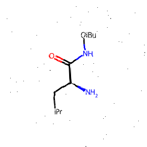 CC(C)CONC(=O)[C@@H](N)CC(C)C